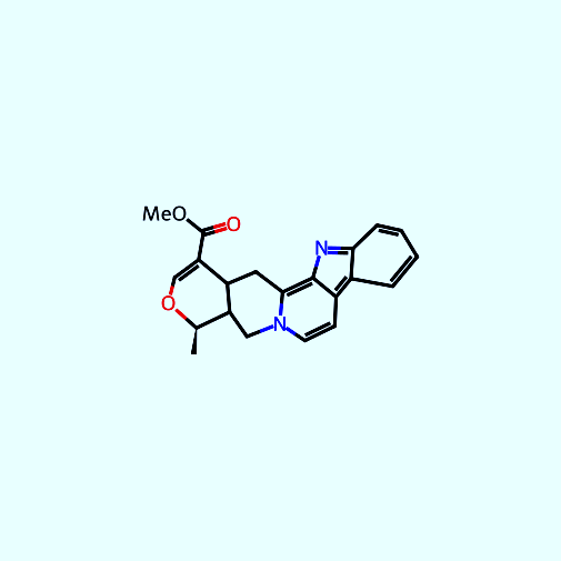 COC(=O)C1=CO[C@H](C)C2Cn3ccc4c5ccccc5nc-4c3CC12